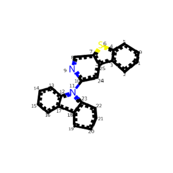 c1ccc2c(c1)sc1cnc(-n3c4ccccc4c4ccccc43)cc12